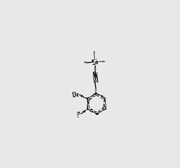 C[Si](C)(C)C#Cc1cccc(F)c1Br